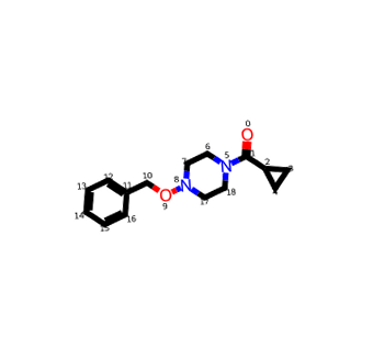 O=C(C1CC1)N1CCN(OCc2ccccc2)CC1